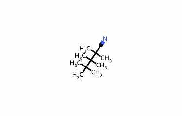 CC(C)(C)C(C)(C)C(C)(C)C#N